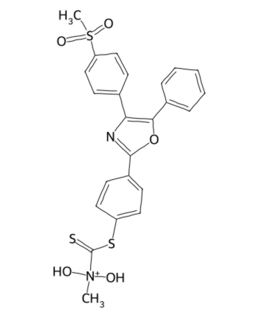 C[N+](O)(O)C(=S)Sc1ccc(-c2nc(-c3ccc(S(C)(=O)=O)cc3)c(-c3ccccc3)o2)cc1